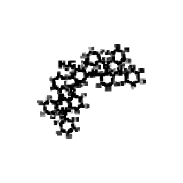 Cc1c2c3cccc4c3n(c2cc2c1c1cccc3c1n2-c1cccc2c1B3c1ccccc1N2c1ccccc1)-c1cccc2c1B4c1ccccc1N2c1ccccc1